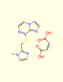 Cn1ccnc1CSc1nccn2ccnc12.O=C(O)/C=C\C(=O)O